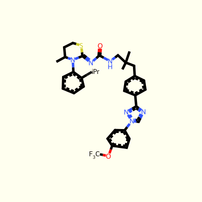 CC(C)c1ccccc1N1/C(=N/C(=O)NCC(C)(C)Cc2ccc(-c3ncn(-c4ccc(OC(F)(F)F)cc4)n3)cc2)SCCC1C